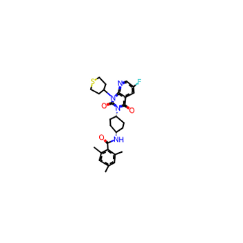 Cc1cc(C)c(C(=O)N[C@H]2CC[C@@H](n3c(=O)c4cc(F)cnc4n(C4CCSCC4)c3=O)CC2)c(C)c1